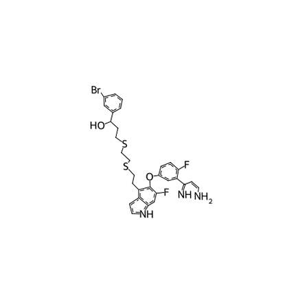 N=C(/C=C\N)c1cc(Oc2c(F)cc3[nH]ccc3c2CCSCCSCCC(O)c2cccc(Br)c2)ccc1F